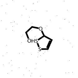 C1=CC2OCCO[SH]2S1